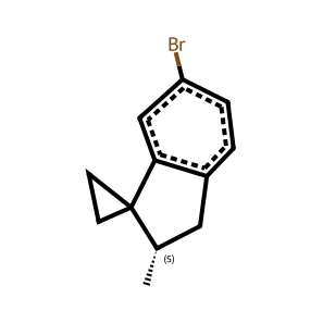 C[C@H]1Cc2ccc(Br)cc2C12CC2